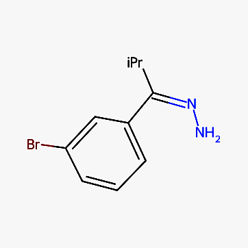 CC(C)/C(=N/N)c1cccc(Br)c1